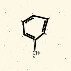 [CH]c1ccccc1